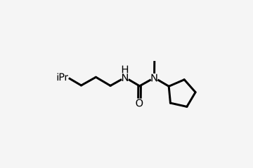 CC(C)CCCNC(=O)N(C)C1CCCC1